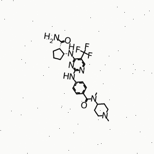 CN1CCC(N(C)C(=O)c2ccc(Nc3ncc(C(F)(F)F)c(N[C@@H]4CCC[C@@H]4C(N)=O)n3)cc2)CC1